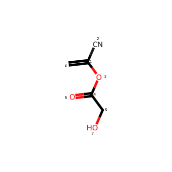 C=C(C#N)OC(=O)CO